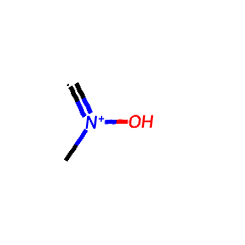 [CH]=[N+](C)O